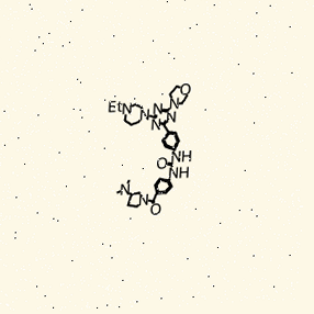 CCN1CCCN(c2nc(-c3ccc(NC(=O)Nc4ccc(C(=O)N5CCC(N(C)C)C5)cc4)cc3)nc(N3CCOCC3)n2)CC1